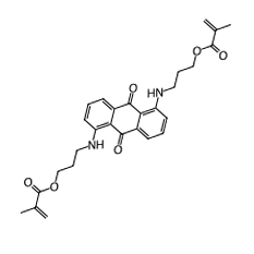 C=C(C)C(=O)OCCCNc1cccc2c1C(=O)c1cccc(NCCCOC(=O)C(=C)C)c1C2=O